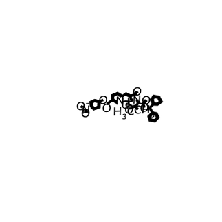 CC1(C)[C@H](C(=O)OC(c2ccccc2)c2ccccc2)N2C(=O)/C(=C/c3ccc(C(=O)Oc4ccc([N+](=O)[O-])cc4)cn3)[C@H]2S1(=O)=O